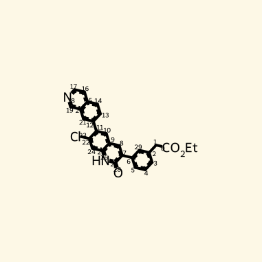 CCOC(=O)Cc1cccc(-c2cc3cc(-c4ccc5ccncc5c4)c(Cl)cc3[nH]c2=O)c1